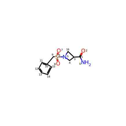 NC(=O)C1CN(S(=O)(=O)Cc2ccccc2)C1